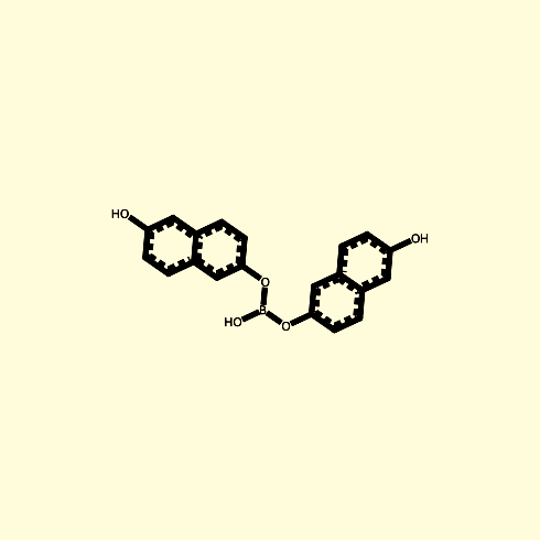 OB(Oc1ccc2cc(O)ccc2c1)Oc1ccc2cc(O)ccc2c1